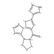 O=C(c1csc(-c2cn[nH]c2)c1)N1CCCC1C1=CC=CC1